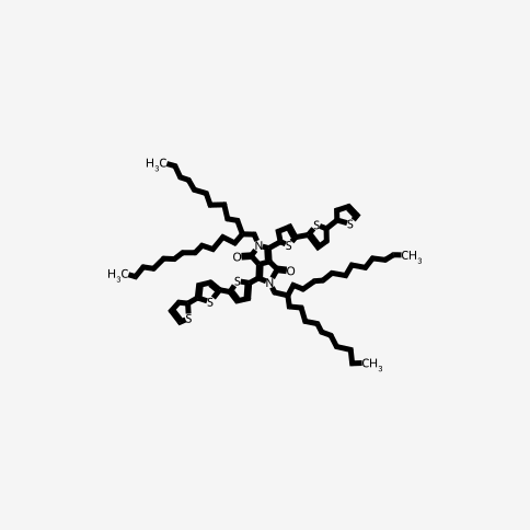 CCCCCCCCCCCCC(CCCCCCCCCC)CN1C(=O)C2=C(C3CC=C(C4=CCC(C5CC=CS5)S4)S3)N(CC(CCCCCCCCCC)CCCCCCCCCCCC)C(=O)C2=C1c1ccc(-c2ccc(C3CC=CS3)s2)s1